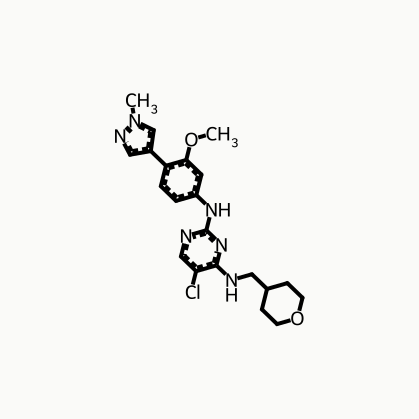 COc1cc(Nc2ncc(Cl)c(NCC3CCOCC3)n2)ccc1-c1cnn(C)c1